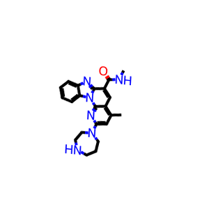 CNC(=O)c1cc2c(C)cc(N3CCCNCC3)nc2n2c1nc1ccccc12